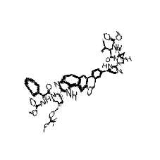 COC(=O)NC(C(=O)N1[C@@H]2C[C@@H]2C[C@H]1c1ncc(-c2ccc3c(c2)COc2cc4c(ccc5nc([C@@H]6C[C@H](COC(F)F)CN6C(=O)[C@H](NC(=O)OC)c6ccccc6)[nH]c54)cc2-3)[nH]1)C(C)C